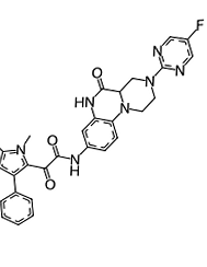 Cc1cc(-c2ccccc2)c(C(=O)C(=O)Nc2ccc3c(c2)NC(=O)C2CN(c4ncc(F)cn4)CCN32)n1C